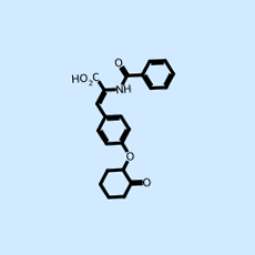 O=C(O)C(=Cc1ccc(OC2CCCCC2=O)cc1)NC(=O)c1ccccc1